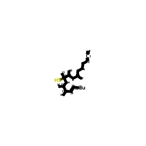 C=C=CCCCC(C)CC(C)C(C)(S)CC(C)C(C)C=CC(C)CC